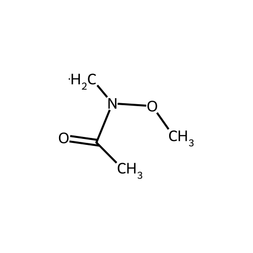 [CH2]N(OC)C(C)=O